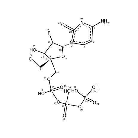 Nc1ccn([C@@H]2O[C@](CCl)(COP(=O)(O)OP(=O)(O)OP(=O)(O)O)C(O)C2F)c(=O)n1